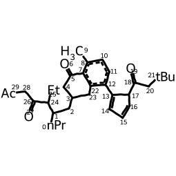 CCCC(CC1CC(=O)c2c(C)ccc(C3=CC=CC3C(=O)CC(C)(C)C)c2C1)C(CC)C(=O)CC(C)=O